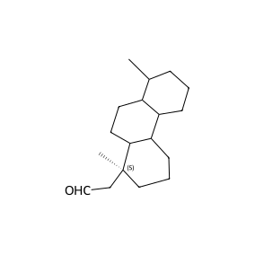 CC1CCCC2C1CCC1C2CCC[C@@]1(C)CC=O